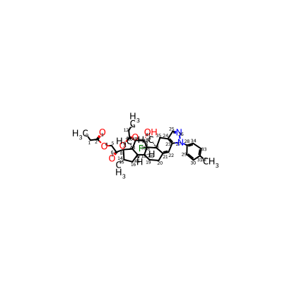 CCC(=O)OCC(=O)[C@@]1(OC(=O)CC)[C@@H](C)C[C@H]2[C@@H]3CCC4=Cc5c(cnn5-c5ccc(C)cc5)C[C@]4(C)[C@@]3(F)[C@@H](O)C[C@@]21C